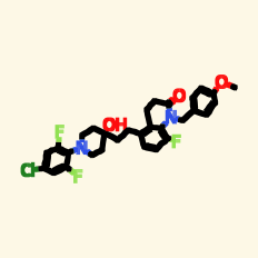 COc1ccc(CN2C(=O)CCc3c(CCC4(O)CCN(c5c(F)cc(Cl)cc5F)CC4)ccc(F)c32)cc1